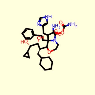 NC(=O)OC(=O)N1CCOC([C@@H](CC2CCCCC2)[C@@H](O)[C@@H](O)C2CC2)C1(CCc1ccccc1)C(Cc1c[nH]cn1)C(N)=O